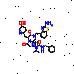 CC(C)N(C(=O)NCc1ccccc1)N1CC(=O)N2[C@@H](Cc3ccc(O)cn3)C(=O)N(Cc3cccc4sc(N)nc34)C[C@@H]21